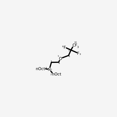 CCCCCCCCN(CCCCCCCC)CCOCC(F)(F)C(F)(F)F